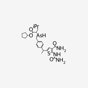 CC(C)CC([AsH]Cc1ccc(C(C)c2cc(C(N)=O)c(NC(N)=O)s2)cc1)C(=O)OC1CCCC1